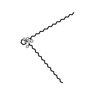 CCCCCCCCCCCCCCCCCCCCCC(=O)O[Si]1(OC(=O)CCCCCCCCCCCCCCCCCCCCC)CCCCO1